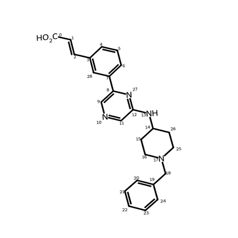 O=C(O)C=Cc1cccc(-c2cncc(NC3CCN(Cc4ccccc4)CC3)n2)c1